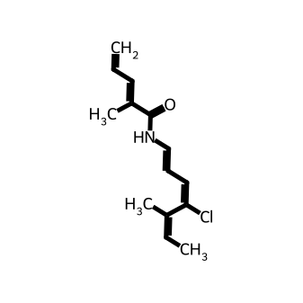 C=C/C=C(\C)C(=O)N/C=C/C=C(Cl)\C(C)=C/C